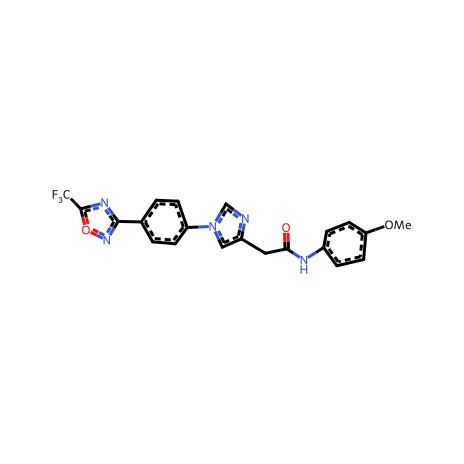 COc1ccc(NC(=O)Cc2cn(-c3ccc(-c4noc(C(F)(F)F)n4)cc3)cn2)cc1